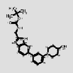 CC(C)(C)OC(=O)NCc1nc2ccc(-c3cccc(N4CCC(O)CC4)c3)nc2[nH]1